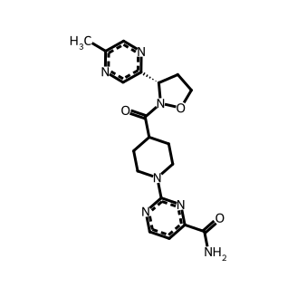 Cc1cnc([C@@H]2CCON2C(=O)C2CCN(c3nccc(C(N)=O)n3)CC2)cn1